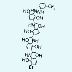 CCc1ccc(O)c(NC(C)c2ccc(O)c(NC(C)c3ccc(O)c(NC(C)c4ccc(O)c(NNc5cccc(C(F)(F)F)c5)c4O)c3O)c2O)c1O